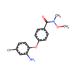 CON(C)C(=O)c1ccc(Oc2ccc(Cl)cc2N)cc1